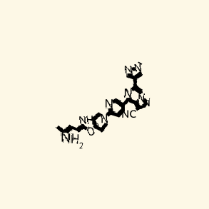 C/C(N)=C/C=C(\N)OC1CCN(c2ccc(-c3nc(-c4cnn(C)c4)cn4ncc(C#N)c34)cn2)CC1